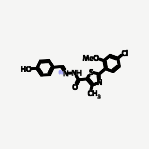 COc1cc(Cl)ccc1-c1nc(C)c(C(=O)N/N=C/c2ccc(O)cc2)s1